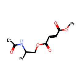 CCC(=O)NC(COC(=O)/C=C/C(=O)OC(C)C)C(C)C